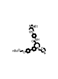 CCCCOCCOc1ccc(-c2ccc3c(c2)/C=C(/C(=O)Nc2ccc([S@+]([O-])Cc4c(C)ncn4CC)cc2)CCCN3CC2CN(C)CCO2)cc1